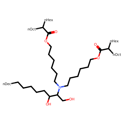 CCCCCCCCCCCCCCCC(O)C(CO)N(CCCCCCOC(=O)C(CCCCCC)CCCCCCCC)CCCCCCOC(=O)C(CCCCCC)CCCCCCCC